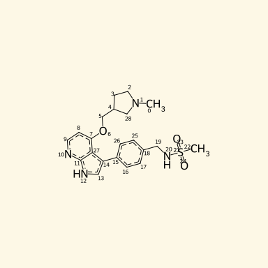 CN1CCC(COc2ccnc3[nH]cc(-c4ccc(CNS(C)(=O)=O)cc4)c23)C1